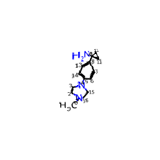 CN1CCN(c2ccc(C3(N)CC3)cc2)CC1